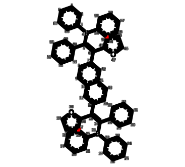 c1ccc(B(/C(=C(/c2ccc3cc(/C(=C(/B(c4ccccc4)c4ccccc4)c4ccccc4)c4ccco4)ccc3c2)c2ccco2)c2ccccc2)c2ccccc2)cc1